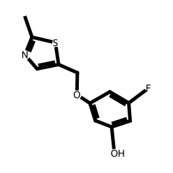 Cc1ncc(COc2cc(O)cc(F)c2)s1